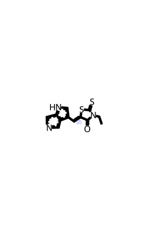 CCN1C(=O)/C(=C/c2c[nH]c3ccncc23)SC1=S